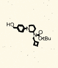 CC(C)(C)OC(=O)N(CC1CCC1)[C@@H]1CCCN(c2ccc(CO)cc2)C1